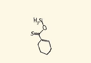 [SiH3]OC(=S)C1=CCCCC1